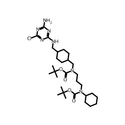 CC(C)(C)OC(=O)N(CCCN(C(=O)OC(C)(C)C)C1CCCCC1)CC1CCC(CNc2nc(N)nc(Cl)n2)CC1